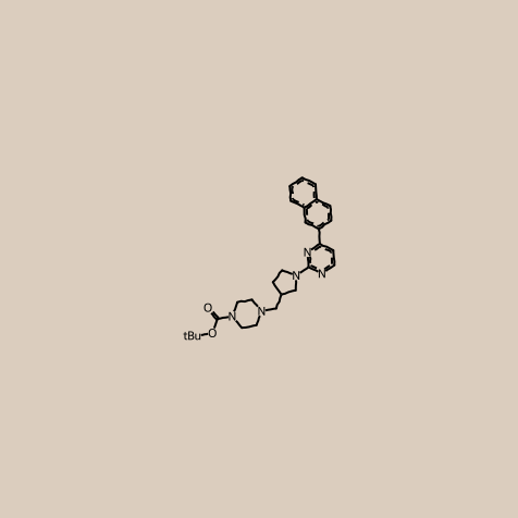 CC(C)(C)OC(=O)N1CCN(CC2CCN(c3nccc(-c4ccc5ccccc5c4)n3)C2)CC1